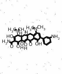 CN(C)c1cc(-c2cccc(N)c2)c(O)c2c1C[C@H]1C[C@H]3[C@H](N(C)C)C(O)=C(C(N)=O)C(=O)[C@@]3(O)C(O)=C1C2=O